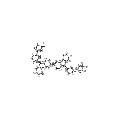 CC1(C)COC(c2cccc(-n3c4ccccc4c4cc(-c5ccc6c(c5)c5ccccc5n6-c5cccc(C6=NC(C)(C)CO6)n5)ccc43)n2)=N1